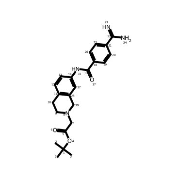 CC(C)(C)OC(=O)CN1CCc2ccc(NC(=O)c3ccc(C(=N)N)cc3)cc2C1